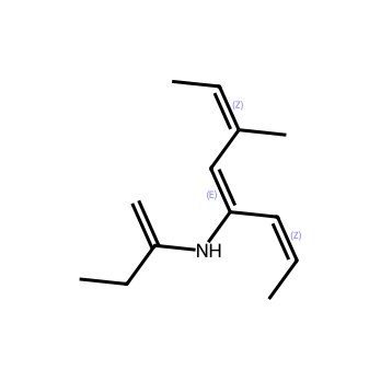 C=C(CC)NC(/C=C\C)=C/C(C)=C\C